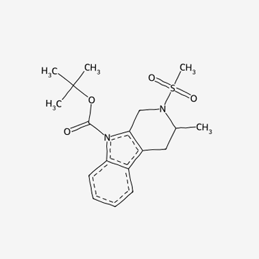 CC1Cc2c(n(C(=O)OC(C)(C)C)c3ccccc23)CN1S(C)(=O)=O